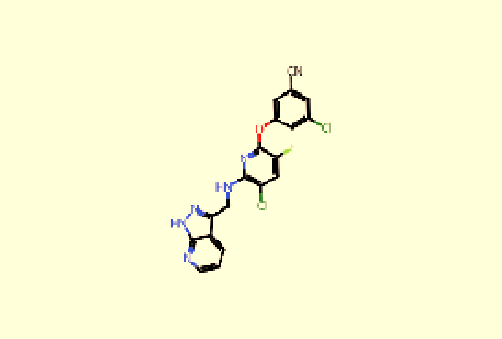 N#Cc1cc(Cl)cc(Oc2nc(NCc3n[nH]c4ncccc34)c(Cl)cc2F)c1